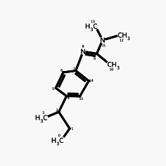 CCC(C)c1ccc(/N=C(\C)N(C)C)cc1